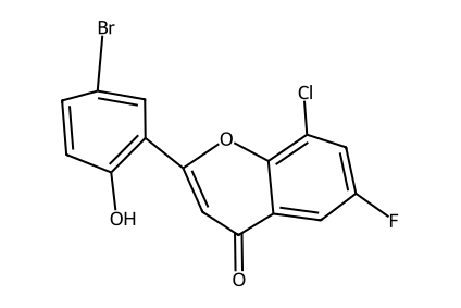 O=c1cc(-c2cc(Br)ccc2O)oc2c(Cl)cc(F)cc12